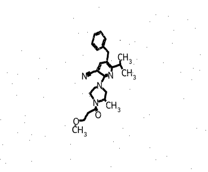 COCCC(=O)N1CCN(c2nc(C(C)C)c(Cc3ccccc3)cc2C#N)CC1C